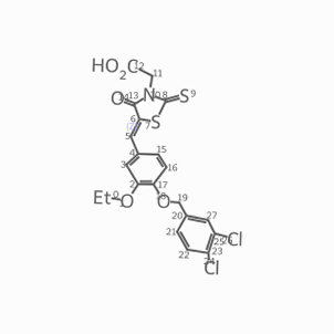 CCOc1cc(/C=C2\SC(=S)N(CC(=O)O)C2=O)ccc1OCc1ccc(Cl)c(Cl)c1